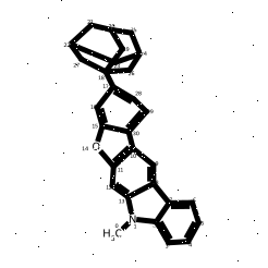 Cn1c2ccccc2c2cc3c(cc21)oc1cc(C24CC5CC(CC(C5)C2)C4)ccc13